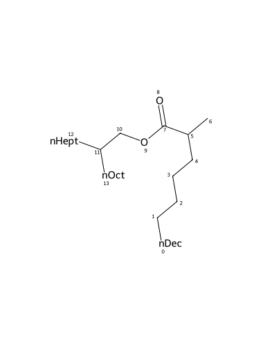 CCCCCCCCCCCCCCC(C)C(=O)OCC(CCCCCCC)CCCCCCCC